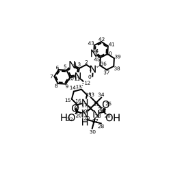 CN(Cc1nc2ccccc2n1C[C@H]1CCCN(C(NC(=O)O)(N(C(=O)O)C(C)(C)C)C(C)(C)C)C1)[C@H]1CCCc2cccnc21